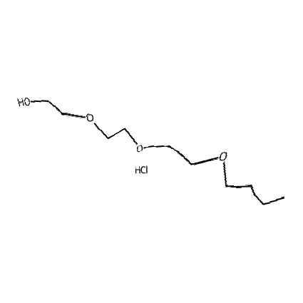 CCCCOCCOCCOCCO.Cl